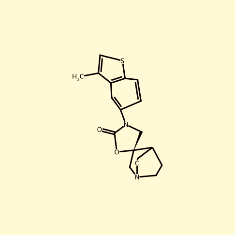 Cc1csc2ccc(N3C[C@@]4(CN5CCC4CC5)OC3=O)cc12